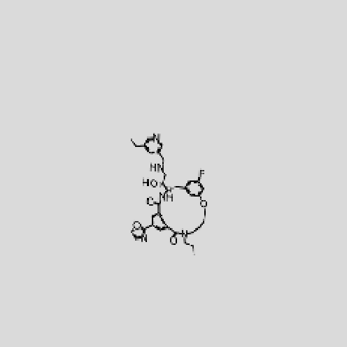 CCCN1CCCCOc2cc(F)cc(c2)C[C@@H]([C@H](O)CNCc2cncc(CC)c2)NC(=O)c2cc(cc(-c3ncco3)c2)C1=O